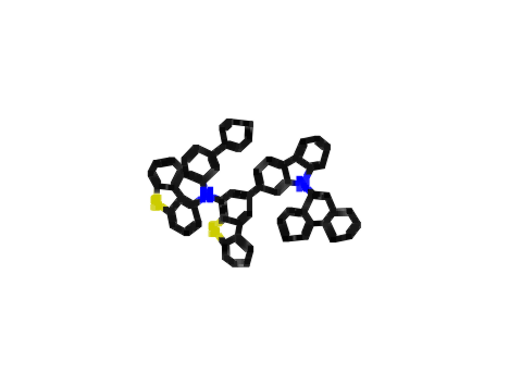 c1ccc(-c2cccc(N(c3cc(-c4ccc5c6ccccc6n(-c6cc7ccccc7c7ccccc67)c5c4)cc4c3sc3ccccc34)c3cccc4sc5ccccc5c34)c2)cc1